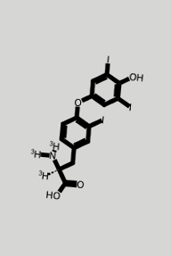 [3H]N([3H])[C@@]([3H])(Cc1ccc(Oc2cc(I)c(O)c(I)c2)c(I)c1)C(=O)O